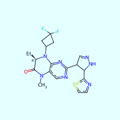 CC[C@@H]1C(=O)N(C)c2cnc(C3C=NNC3c3nccs3)nc2N1C1CC(F)(F)C1